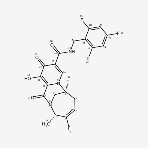 C[C@H]1C(F)=CC[C@H]2CN1C(=O)c1c(O)c(=O)c(C(=O)NCc3c(F)cc(F)cc3F)cn12